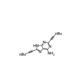 CCCCC#Cc1nc(N)c2nc(C#CCCCC)[nH]c2n1